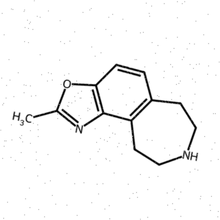 Cc1nc2c3c(ccc2o1)CCNCC3